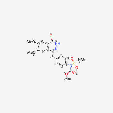 CNS(=O)(=O)N(C(=O)OC(C)(C)C)c1ccc(Cc2n[nH]c(=O)c3cc(OC)c(OC)cc23)cc1